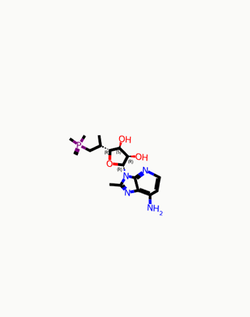 C=P(C)(C)CC(C)[C@H]1O[C@@H](n2c(C)nc3c(N)ccnc32)[C@H](O)[C@@H]1O